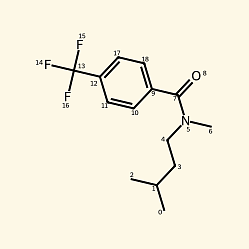 CC(C)CCN(C)C(=O)c1ccc(C(F)(F)F)cc1